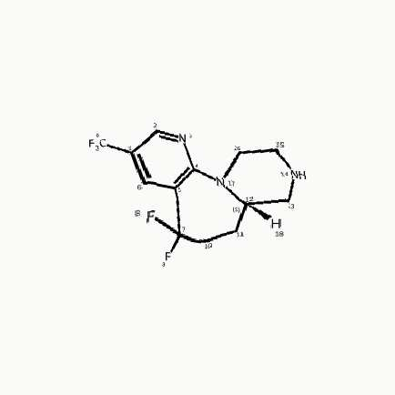 FC(F)(F)c1cnc2c(c1)C(F)(F)CC[C@H]1CNCCN21